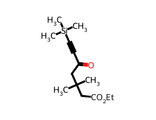 CCOC(=O)CC(C)(C)CC(=O)C#C[Si](C)(C)C